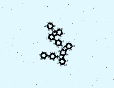 c1ccc(-c2ccc(-n3c4ccccc4c4cc5c6ccccc6n(-c6ccc(-c7cccc8c7c7ccccc7n8-c7ccccc7)cc6)c5cc43)cc2)cc1